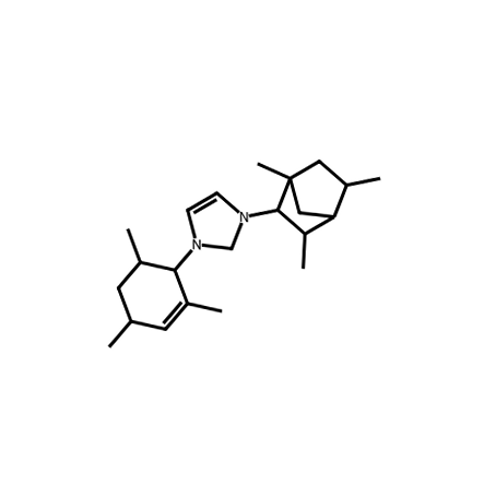 CC1=CC(C)CC(C)C1N1C=CN(C2C(C)C3CC2(C)CC3C)C1